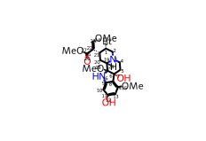 CC[C@@H]1CN2CC[C@]3(O)c4c(cc(O)cc4OC)N[C@]3(OC)[C@@H]2C[C@@H]1/C(=C\OC)C(=O)OC